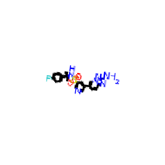 CC(C)(NS(=O)(=O)c1cncc(-c2ccc3nc(N)nn3c2)c1)c1ccc(F)cc1